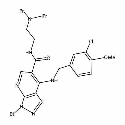 CCn1ncc2c(NCc3ccc(OC)c(Cl)c3)c(C(=O)NCCN(C(C)C)C(C)C)cnc21